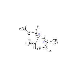 CCCCO/C(C)=C(/C=C(\C(C)F)C(F)(F)F)NN